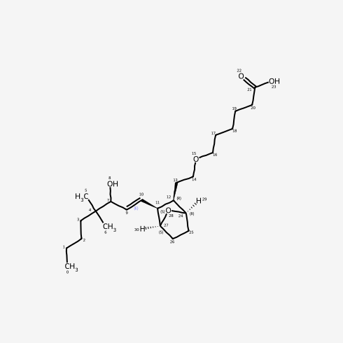 CCCCC(C)(C)C(O)/C=C/[C@H]1[C@@H](CCOCCCCCC(=O)O)[C@H]2CC[C@@H]1O2